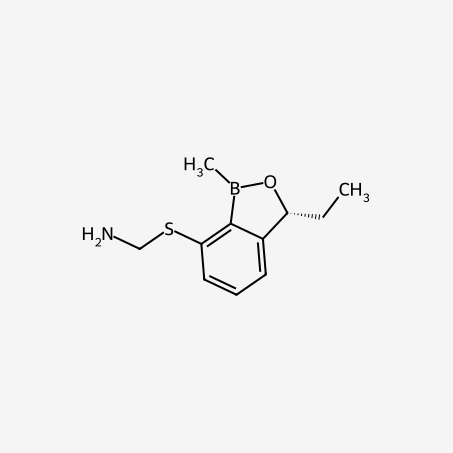 CC[C@H]1OB(C)c2c(SCN)cccc21